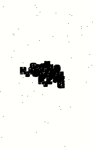 CC[C@@H]1c2cc(Cl)ccc2C(=O)N1c1cncc2c1CCC[C@@H]2NS(C)(=O)=O